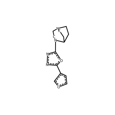 c1cc(-c2nnc(N3CCN4CCC3CC4)o2)co1